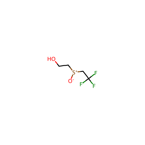 [O-][S+](CCO)CC(F)(F)F